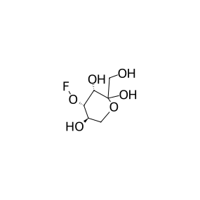 OCC1(O)OC[C@@H](O)[C@H](OF)[C@@H]1O